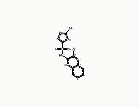 Nc1ccc(S(=O)(=O)Nc2nc3ccccc3nc2Cl)s1